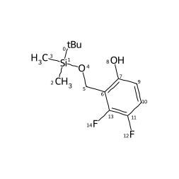 CC(C)(C)[Si](C)(C)OCc1c(O)ccc(F)c1F